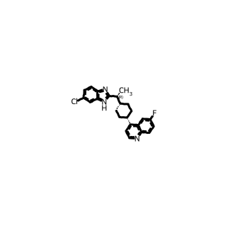 C[C@@H](c1nc2ccc(Cl)cc2[nH]1)[C@H]1CC[C@@H](c2ccnc3ccc(F)cc32)CC1